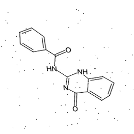 O=C(Nc1nc(=O)c2ccccc2[nH]1)c1ccccc1